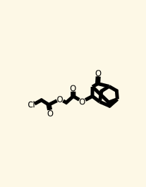 O=C(CCl)OCC(=O)OC1C2CC3CC(C2)C(=O)C1C3